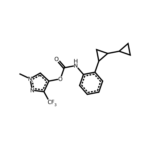 Cn1cc(OC(=O)Nc2ccccc2C2CC2C2CC2)c(C(F)(F)F)n1